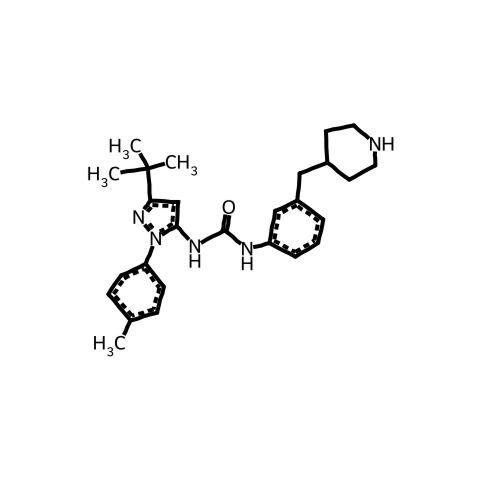 Cc1ccc(-n2nc(C(C)(C)C)cc2NC(=O)Nc2cccc(CC3CCNCC3)c2)cc1